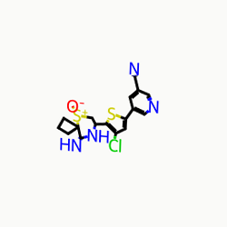 N#Cc1cncc(-c2cc(Cl)c(C3C[S+]([O-])C4(CCC4)C(=N)N3)s2)c1